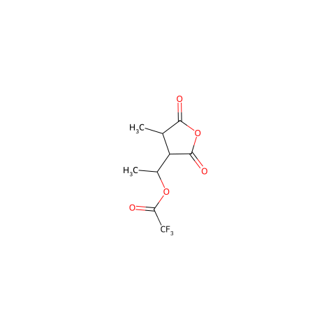 CC(OC(=O)C(F)(F)F)C1C(=O)OC(=O)C1C